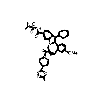 COc1ccc2c(c1)C1CC1(C(=O)N1CCC(c3nnc(C)o3)CC1)CN1C2=C(C2CCCCC2)C2C=CC(C(=O)NS(=O)(=O)N(C)C)=CC21